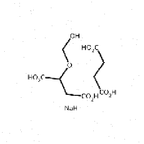 O=C(O)CC(OCO)C(=O)O.O=C(O)CCC(=O)O.[NaH]